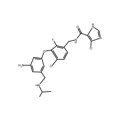 CC(C)NCc1cc(N)cc(Oc2c(Cl)ccc(CNC(=O)c3[nH]cnc3Cl)c2F)c1